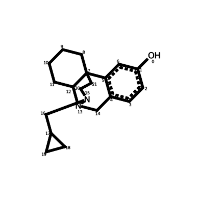 Oc1ccc2c(c1)C13CCCCC1N(C2)N(CC1CC1)CC3